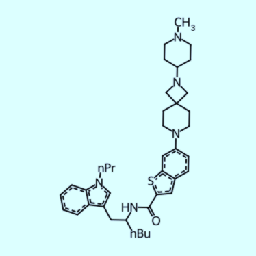 CCCCC(Cc1cn(CCC)c2ccccc12)NC(=O)c1cc2ccc(N3CCC4(CC3)CN(C3CCN(C)CC3)C4)cc2s1